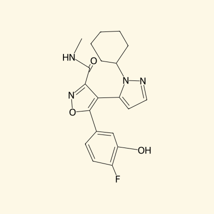 CNC(=O)c1noc(-c2ccc(F)c(O)c2)c1-c1ccnn1C1CCCCC1